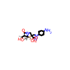 C[C@@H](O)[C@H]1C(=O)N2CC(CNc3ccc(N)cc3)(C(=O)O)S[C@H]12